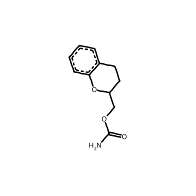 NC(=O)OCC1CCc2ccccc2O1